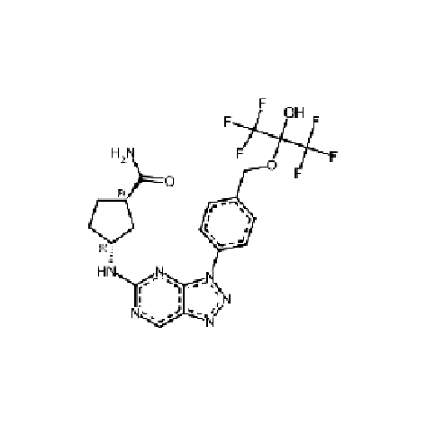 NC(=O)[C@@H]1CC[C@@H](Nc2ncc3nnn(-c4ccc(COC(O)(C(F)(F)F)C(F)(F)F)cc4)c3n2)C1